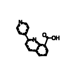 O=C(O)c1cccc2ccc(-c3ccncc3)nc12